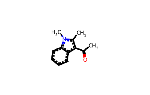 CC(=O)c1c(C)n(C)c2ccc[c]c12